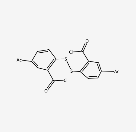 CC(=O)c1ccc(SSc2ccc(C(C)=O)cc2C(=O)Cl)c(C(=O)Cl)c1